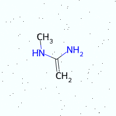 C=C(N)NC